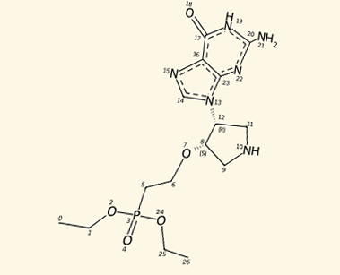 CCOP(=O)(CCO[C@H]1CNC[C@H]1n1cnc2c(=O)[nH]c(N)nc21)OCC